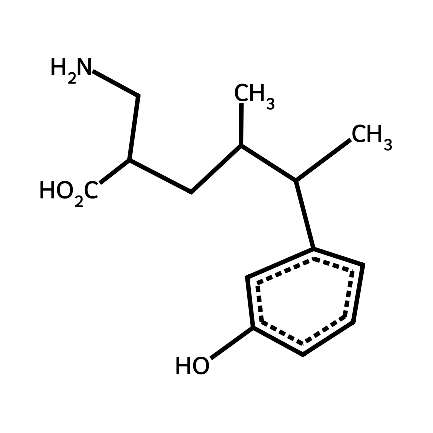 CC(CC(CN)C(=O)O)C(C)c1cccc(O)c1